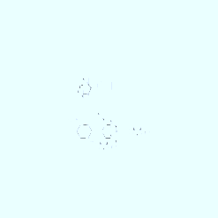 COc1ncc(-c2cc(Cl)ccc2OC)c(N2CCC(c3nc[nH]c3C)CC2)n1